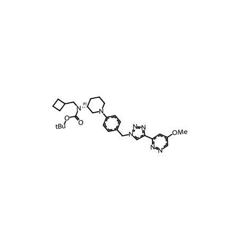 COc1cnnc(-c2cn(Cc3ccc(N4CCC[C@@H](N(CC5CCC5)C(=O)OC(C)(C)C)C4)cc3)nn2)c1